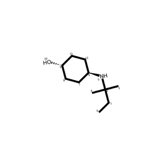 CCC(C)(C)N[C@H]1CC[C@H](O)CC1